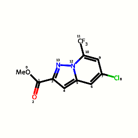 COC(=O)c1cc2cc(Cl)cc(C(F)(F)F)n2n1